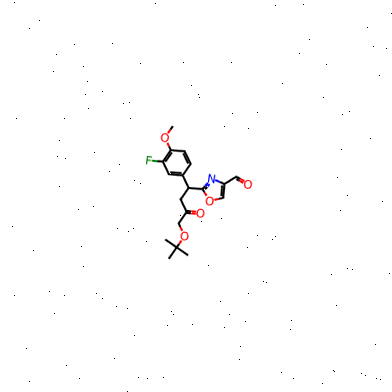 COc1ccc(C(CC(=O)COC(C)(C)C)c2nc(C=O)co2)cc1F